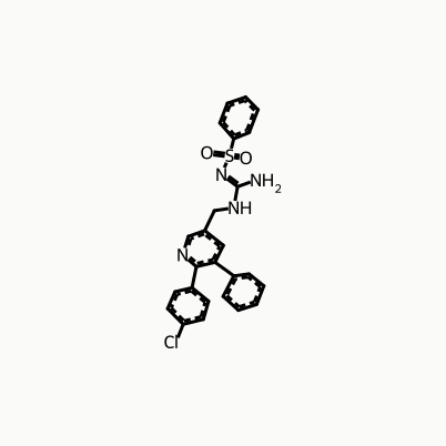 N/C(=N\S(=O)(=O)c1ccccc1)NCc1cnc(-c2ccc(Cl)cc2)c(-c2ccccc2)c1